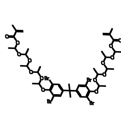 C=C(C)C(=O)OC(C)OC(C)OC(C)OC(C)OC(C)Oc1c(Br)cc(C(C)(C)c2cc(Br)c(OC(C)OC(C)OC(C)OC(C)OC(C)OC(=O)C(=C)C)c(Br)c2)cc1Br